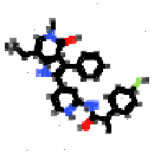 CC(C(=O)Nc1cc(-c2[nH]c3c(CC(F)(F)F)cn(C)c(=O)c3c2-c2ccccc2)ccn1)c1ccc(F)cc1